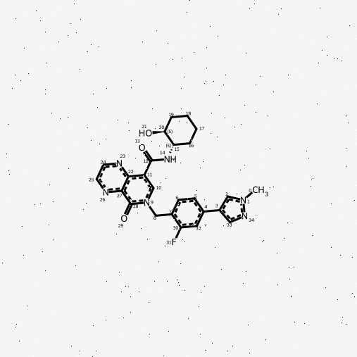 Cn1cc(-c2ccc(Cn3cc(C(=O)N[C@H]4CCCC[C@@H]4O)c4nccnc4c3=O)c(F)c2)cn1